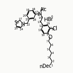 Br.CCCCCCCCCCCCCCCCOc1ccc(CCN(C(C)=O)c2cccc(CN3C=CSC3)c2)cc1Cl